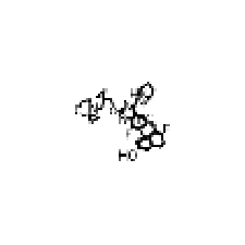 C#Cc1c(F)ccc2cc(O)cc(-c3ccc4c(N5CC6CCC(C5)N6)nc(OCC5(CN6CCOCC67CC7)CC5)nc4c3F)c12